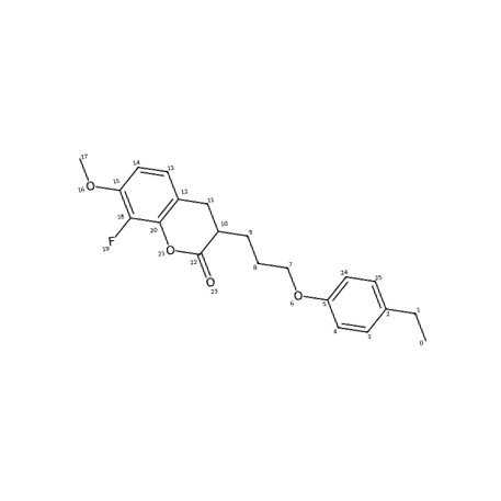 CCc1ccc(OCCCC2Cc3ccc(OC)c(F)c3OC2=O)cc1